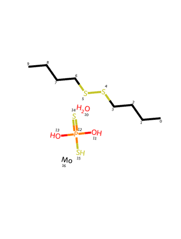 CCCCSSCCCC.O.OP(O)(=S)S.[Mo]